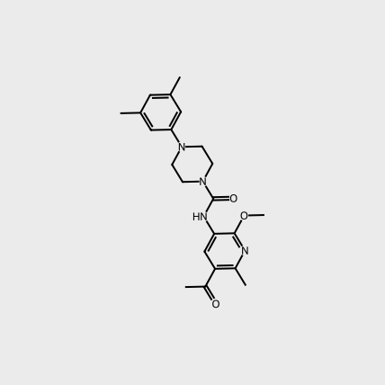 COc1nc(C)c(C(C)=O)cc1NC(=O)N1CCN(c2cc(C)cc(C)c2)CC1